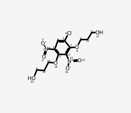 O=[N+]([O-])c1cc(Cl)c(OCCCO)c([N+](=O)[O-])c1OCCCO